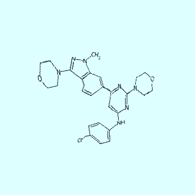 Cn1nc(N2CCOCC2)c2ccc(-c3cc(Nc4ccc(Cl)cc4)nc(N4CCOCC4)n3)cc21